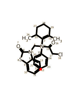 CC1=C([N+](Cn2c(=O)sc3ccccc32)(C(=O)CCl)c2ccccc2)C(C)CCC1